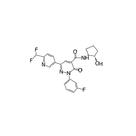 O=C(N[C@H]1CCC[C@H]1O)c1cc(-c2ccc(C(F)F)nc2)nn(-c2cccc(F)c2)c1=O